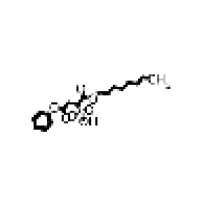 CCCCCCCCOC(=O)C(CC(=O)Oc1ccccc1)S(=O)(=O)O